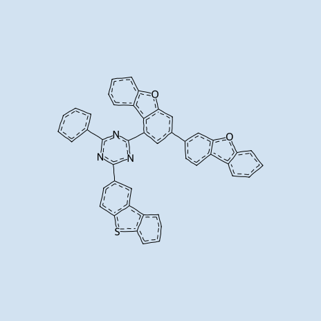 c1ccc(-c2nc(-c3ccc4sc5ccccc5c4c3)nc(-c3cc(-c4ccc5c(c4)oc4ccccc45)cc4oc5ccccc5c34)n2)cc1